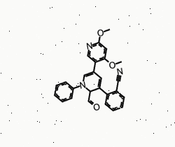 COc1cc(OC)c(C2=CN(c3ccccc3)C(C=O)C(c3ccccc3C#N)=C2)cn1